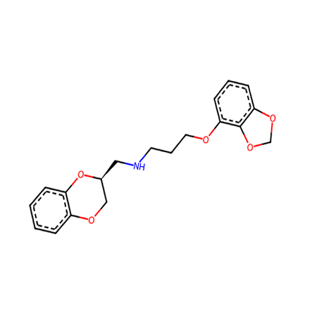 c1ccc2c(c1)OC[C@H](CNCCCOc1cccc3c1OCO3)O2